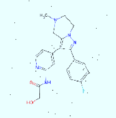 CN1CCn2nc(-c3ccc(F)cc3)c(-c3ccnc(NC(=O)CO)c3)c2C1